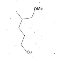 CCC(C)CCCC(C)COC